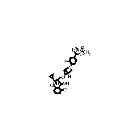 CCC[SH](C)(=O)NC(=O)c1ccc(N2C[C@@H]3CC2CC3OC/C(C(=N)c2c(Cl)cccc2Cl)=C(/O)C2CC2)c(F)c1